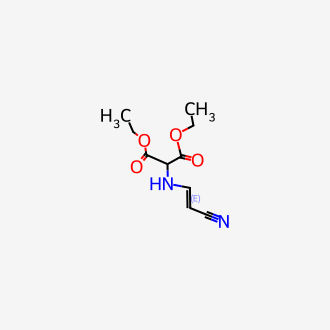 CCOC(=O)C(N/C=C/C#N)C(=O)OCC